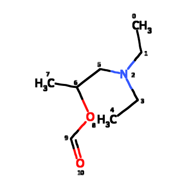 CCN(CC)CC(C)OC=O